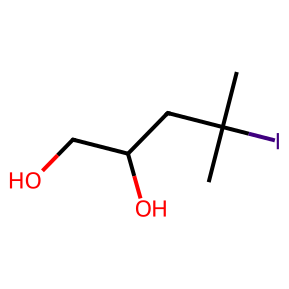 CC(C)(I)CC(O)CO